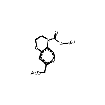 CC(=O)OCc1cc2c(cn1)N(C(=O)OC(C)(C)C)CCO2